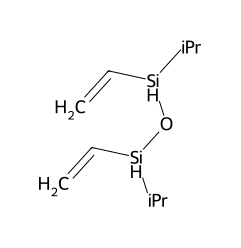 C=C[SiH](O[SiH](C=C)C(C)C)C(C)C